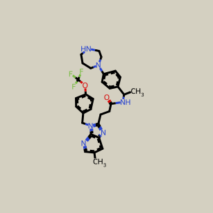 Cc1cnc2c(c1)nc(CCC(=O)NC(C)c1ccc(N3CCCNCC3)cc1)n2Cc1ccc(OC(F)(F)F)cc1